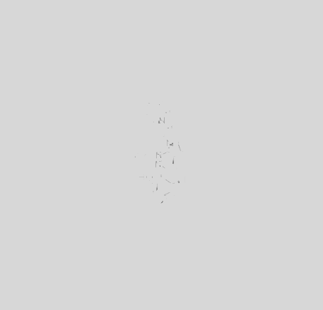 Cc1cc(Cl)cc(O)c1-c1cc2ccn(CCN3CCCCC3)c2nn1.Cl